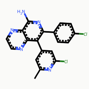 Cc1cc(-c2c(-c3ccc(Cl)cc3)nc(N)c3nccnc23)cc(Cl)n1